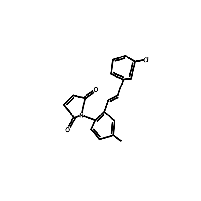 Cc1ccc(N2C(=O)C=CC2=O)c(/C=C/c2cccc(Cl)c2)c1